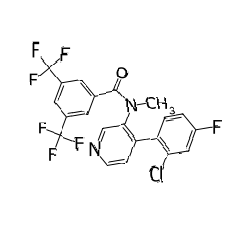 CN(C(=O)c1cc(C(F)(F)F)cc(C(F)(F)F)c1)c1cnccc1-c1ccc(F)cc1Cl